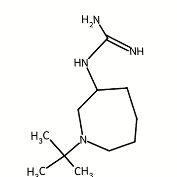 CC(C)(C)N1CCCCC(NC(=N)N)C1